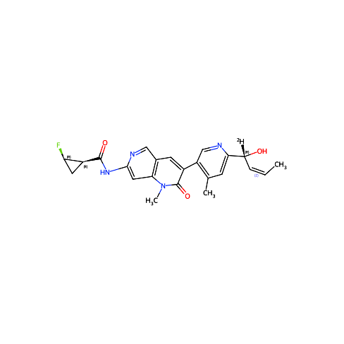 [2H][C@@](O)(/C=C\C)c1cc(C)c(-c2cc3cnc(NC(=O)[C@H]4C[C@H]4F)cc3n(C)c2=O)cn1